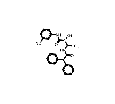 N#Cc1cccc(NC(=O)N(S)C(NC(=O)C(c2ccccc2)c2ccccc2)C(Cl)(Cl)Cl)c1